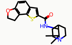 CC1(C)C(NC(=O)c2cc3ccc4c(c3s2)CCO4)C2CCN1CC2